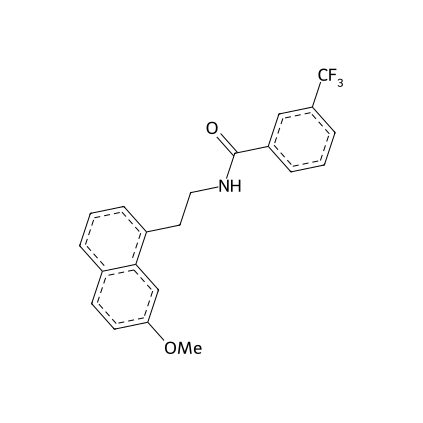 COc1ccc2cccc(CCNC(=O)c3cccc(C(F)(F)F)c3)c2c1